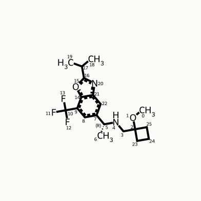 COC1(CN[C@H](C)c2cc(C(F)(F)F)c3oc(C(C)C)nc3c2)CCC1